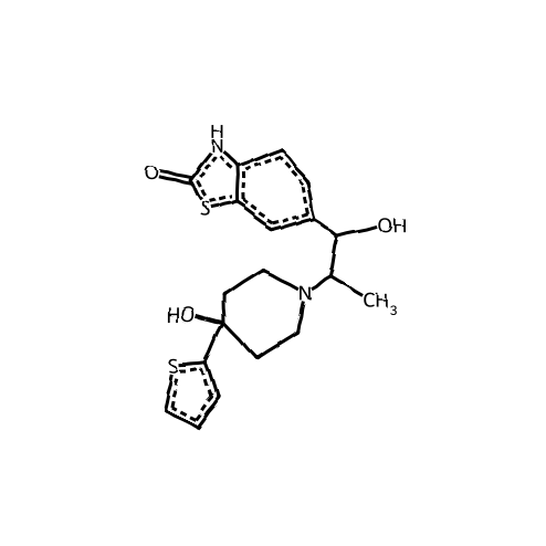 CC(C(O)c1ccc2[nH]c(=O)sc2c1)N1CCC(O)(c2cccs2)CC1